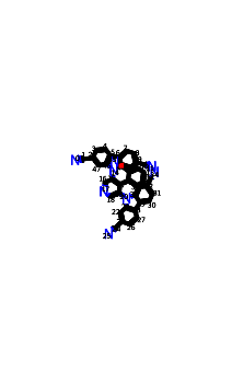 N#Cc1ccc2c3ccc(C#N)cc3n(-c3cncc(-n4c5cc(C#N)ccc5c5ccc(C#N)cc54)c3-c3ccccc3C#N)c2c1